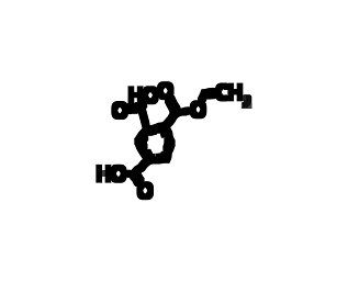 C=COC(=O)c1ccc(C(=O)O)cc1C(=O)O